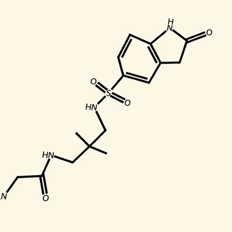 CC(C)(CNC(=O)CN)CNS(=O)(=O)c1ccc2c(c1)CC(=O)N2